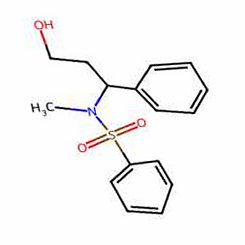 CN(C(CCO)c1ccccc1)S(=O)(=O)c1ccccc1